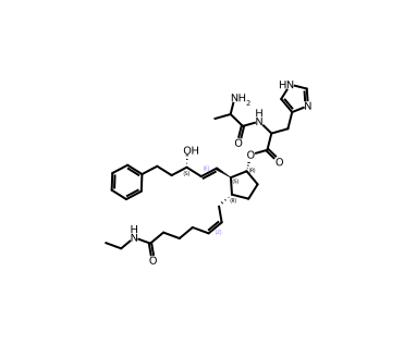 CCNC(=O)CCC/C=C\C[C@H]1CC[C@@H](OC(=O)C(Cc2c[nH]cn2)NC(=O)C(C)N)[C@@H]1/C=C/[C@@H](O)CCc1ccccc1